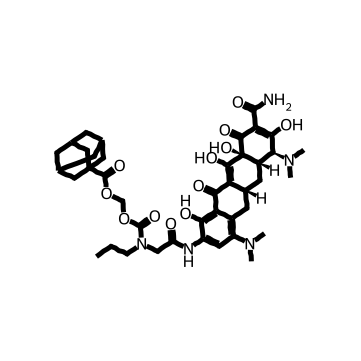 CCCN(CC(=O)Nc1cc(N(C)C)c2c(c1O)C(=O)C1=C(O)[C@]3(O)C(=O)C(C(N)=O)=C(O)[C@@H](N(C)C)[C@@H]3C[C@@H]1C2)C(=O)OCOC(=O)C12CC3CC(CC(C3)C1)C2